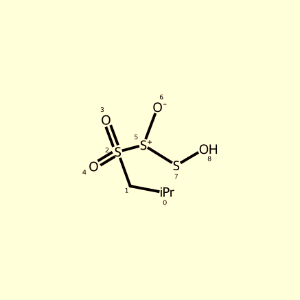 CC(C)CS(=O)(=O)[S+]([O-])SO